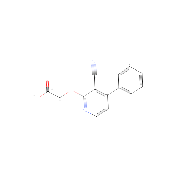 N#Cc1c(-c2ccccc2)ccnc1OCC(=O)O